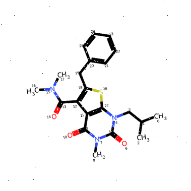 CC(C)Cn1c(=O)n(C)c(=O)c2c(C(=O)N(C)C)c(Cc3ccccc3)sc21